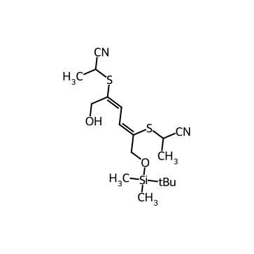 CC(C#N)SC(=CC=C(CO[Si](C)(C)C(C)(C)C)SC(C)C#N)CO